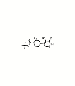 C[C@H]1CN(c2cn[nH]c(=O)c2Br)CCN1C(=O)OC(C)(C)C